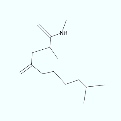 C=C(CCCCC(C)C)CC(C)C(=C)NC